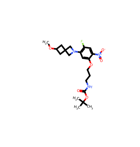 COC1CC2(C1)CN(c1cc(OCCCNC(=O)OC(C)(C)C)c([N+](=O)[O-])cc1F)C2